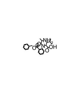 CC(C)CC(C(=O)O)N(C(=O)C(C)N)c1ccccc1C(=O)OCc1ccccc1